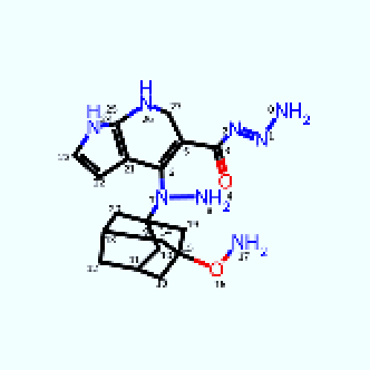 NN=NC(=O)C1=C(N(N)C23CC4CC(CC(ON)(C4)C2)C3)c2cc[nH]c2NC1